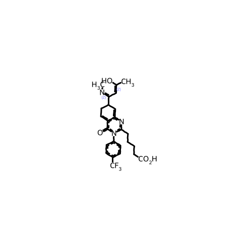 C/N=C(\C=C(\C)O)C1C=c2nc(CCCCC(=O)O)n(-c3ccc(C(F)(F)F)cc3)c(=O)c2=CC1